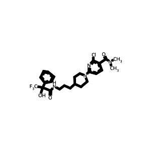 CN(C)C(=O)c1ccc(N2CCC(CCCNC(=O)C(O)(c3ccccc3)C(F)(F)F)CC2)nc1Cl